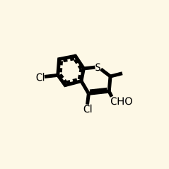 CC1Sc2ccc(Cl)cc2C(Cl)=C1C=O